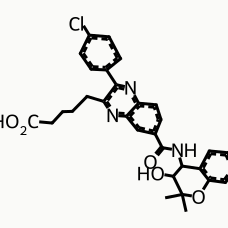 CC1(C)Oc2ccccc2C(NC(=O)c2ccc3nc(-c4ccc(Cl)cc4)c(CCCCC(=O)O)nc3c2)C1O